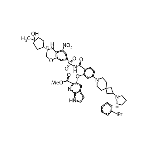 COC(=O)c1nc2[nH]ccc2cc1Oc1cc(N2CCC3(CC2)CC(N2CCC[C@@H]2c2ccccc2C(C)C)C3)ccc1C(=O)NS(=O)(=O)c1cc2c(c([N+](=O)[O-])c1)N[C@@H](C1CCC(C)(O)CC1)CO2